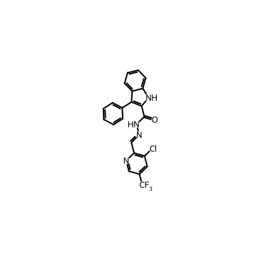 O=C(NN=Cc1ncc(C(F)(F)F)cc1Cl)c1[nH]c2ccccc2c1-c1ccccc1